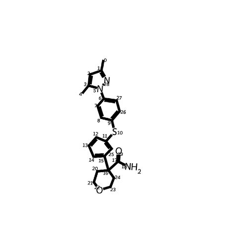 Cc1cc(C)n(-c2ccc(Sc3cccc(C4(C(N)=O)CCOCC4)c3)cc2)n1